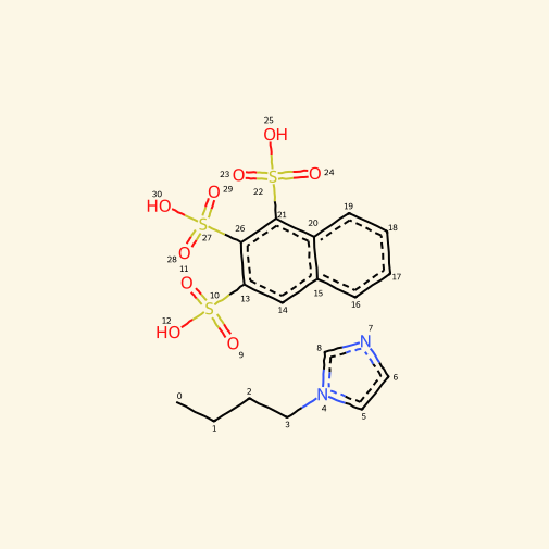 CCCCn1ccnc1.O=S(=O)(O)c1cc2ccccc2c(S(=O)(=O)O)c1S(=O)(=O)O